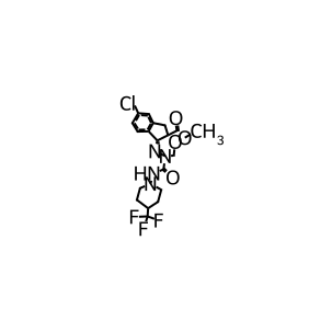 COC(=O)C12Cc3cc(Cl)ccc3C1=NN(C(=O)NN1CCC(C(F)(F)F)CC1)CO2